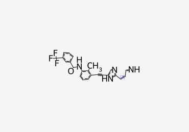 Cc1c(C#Cc2cnc(/C=C\C=N)[nH]2)cccc1NC(=O)c1cccc(C(F)(F)F)c1